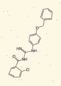 N=C(NC(=O)c1ccccc1Cl)Nc1ccc(OCc2ccccc2)cc1